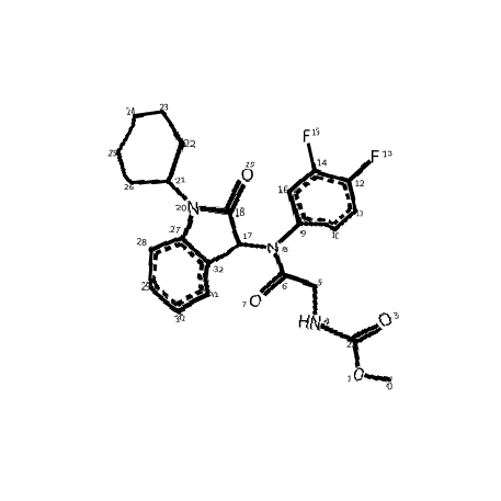 COC(=O)NCC(=O)N(c1ccc(F)c(F)c1)C1C(=O)N(C2CCCCC2)c2ccccc21